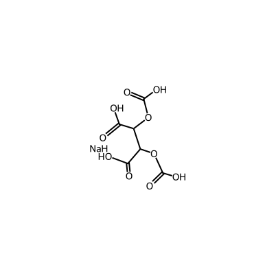 O=C(O)OC(C(=O)O)C(OC(=O)O)C(=O)O.[NaH]